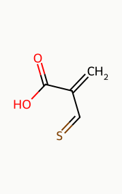 C=C(C=S)C(=O)O